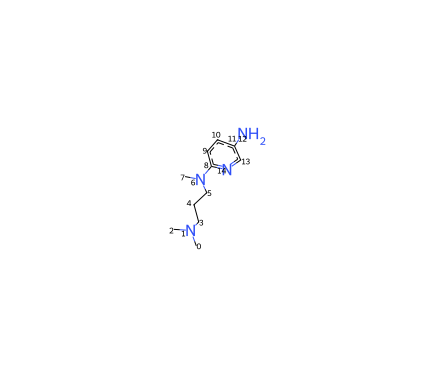 CN(C)CCCN(C)c1ccc(N)cn1